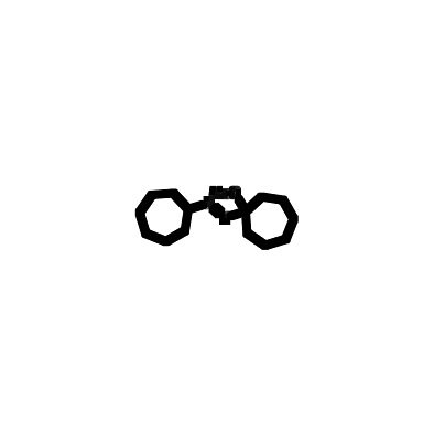 COC1(N=NC2CCCCCC2)CCCCCC1